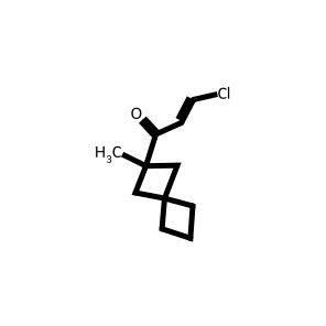 CC1(C(=O)C=CCl)CC2(CCC2)C1